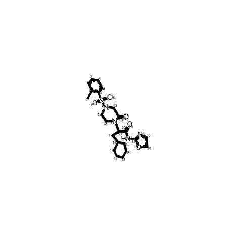 Cc1ccccc1S(=O)(=O)N1CCN(C(CC2CCCCC2)C(=O)Nc2nccs2)C(=O)C1